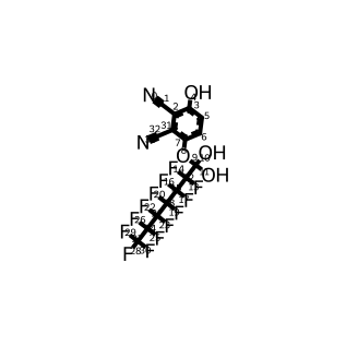 N#Cc1c(O)ccc(OC(O)(O)C(F)(F)C(F)(F)C(F)(F)C(F)(F)C(F)(F)C(F)(F)F)c1C#N